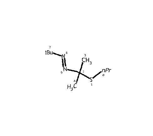 CCCSC(C)(C)/N=N/C(C)(C)C